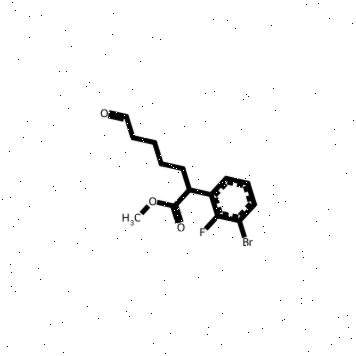 COC(=O)C(CCCCC=O)c1cccc(Br)c1F